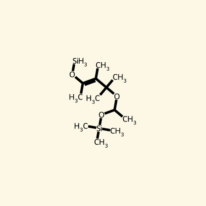 CC(O[SiH3])=C(C)C(C)(C)OC(C)O[Si](C)(C)C